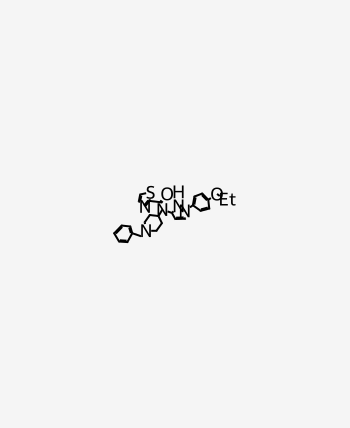 CCOc1ccc(N2C=CC(N(C(=O)c3nccs3)C3CCN(Cc4ccccc4)CC3)N2)cc1